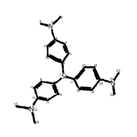 CN(C)c1ccc([Si](c2ccc(N(C)C)cc2)c2ccc(N(C)C)cc2)cc1